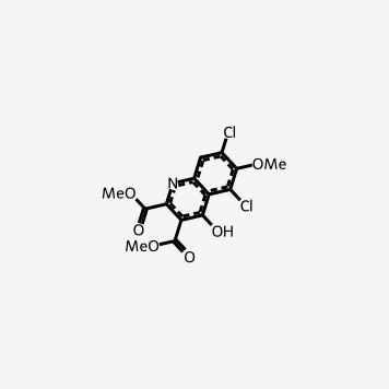 COC(=O)c1nc2cc(Cl)c(OC)c(Cl)c2c(O)c1C(=O)OC